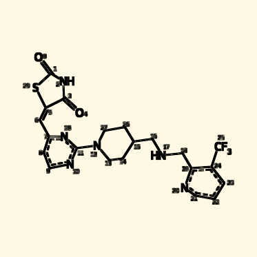 O=C1NC(=O)/C(=C\c2ccnc(N3CCC(CNCc4ncccc4C(F)(F)F)CC3)n2)S1